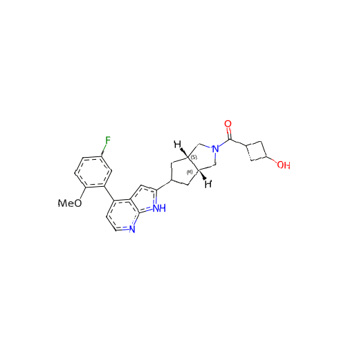 COc1ccc(F)cc1-c1ccnc2[nH]c(C3C[C@@H]4CN(C(=O)C5CC(O)C5)C[C@@H]4C3)cc12